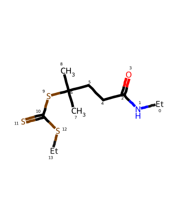 CCNC(=O)CCC(C)(C)SC(=S)SCC